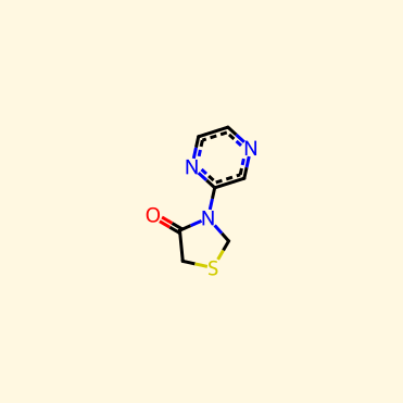 O=C1CSCN1c1cnccn1